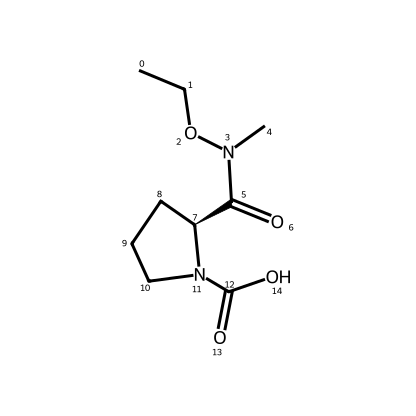 CCON(C)C(=O)[C@@H]1CCCN1C(=O)O